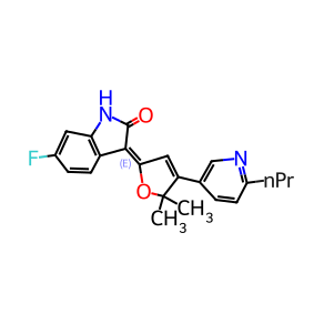 CCCc1ccc(C2=C/C(=C3\C(=O)Nc4cc(F)ccc43)OC2(C)C)cn1